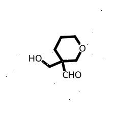 O=CC1(CO)CCCOC1